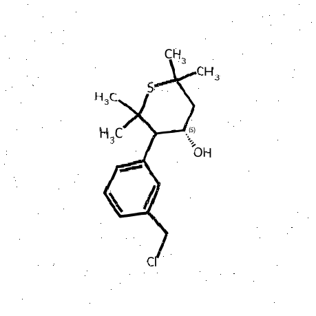 CC1(C)C[C@H](O)C(c2cccc(CCl)c2)C(C)(C)S1